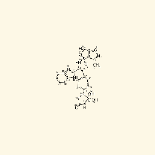 Cc1noc(C)c1S(=O)(=O)N[C@@H](Cc1ccc(C2CC(=O)NS2(O)O)cc1)c1nc2ccccc2[nH]1